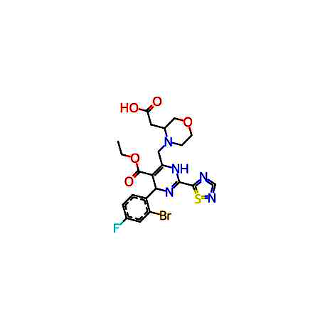 CCOC(=O)C1=C(CN2CCOCC2CC(=O)O)NC(c2ncns2)=NC1c1ccc(F)cc1Br